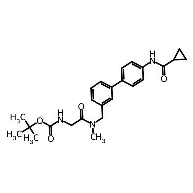 CN(Cc1cccc(-c2ccc(NC(=O)C3CC3)cc2)c1)C(=O)CNC(=O)OC(C)(C)C